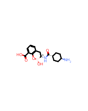 N[C@H]1CC[C@H](C(=O)N[C@H]2Cc3cccc(C(=O)O)c3OB2O)CC1